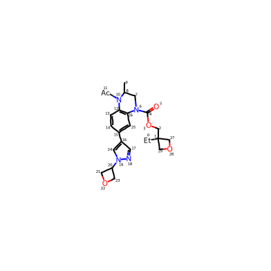 CCC1(COC(=O)N2CC(C)N(C(C)=O)c3ccc(-c4cnn(C5COC5)c4)cc32)COC1